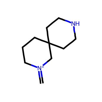 C=[N+]1CCCC2(CCNCC2)C1